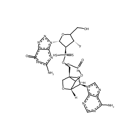 Nc1nc2c(nnn2[C@@H]2OC(CO)[C@H](F)[C@H]2P(=S)(S)OC[C@@]23CO[C@@H]([C@H](n4cnc5c(N)ncnc54)O2)[C@@H]3O[PH](=O)S)c(=O)[nH]1